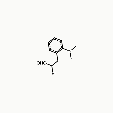 CCC(C=O)Cc1ccccc1N(C)C